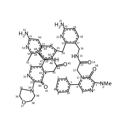 CNc1ncc(-c2ccccc2)n(CC(=O)NCc2ccc(N)nc2Cc2cccc(-c3cnc(N4CCOCC4)c(=O)n3CC(=O)NCc3ccc(N)nc3C)c2)c1=O